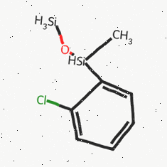 C[SiH](O[SiH3])c1ccccc1Cl